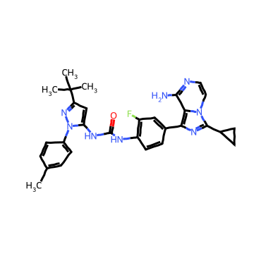 Cc1ccc(-n2nc(C(C)(C)C)cc2NC(=O)Nc2ccc(-c3nc(C4CC4)n4ccnc(N)c34)cc2F)cc1